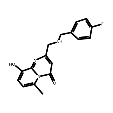 Cc1ccc(O)c2nc(CNCc3ccc(F)cc3)cc(=O)n12